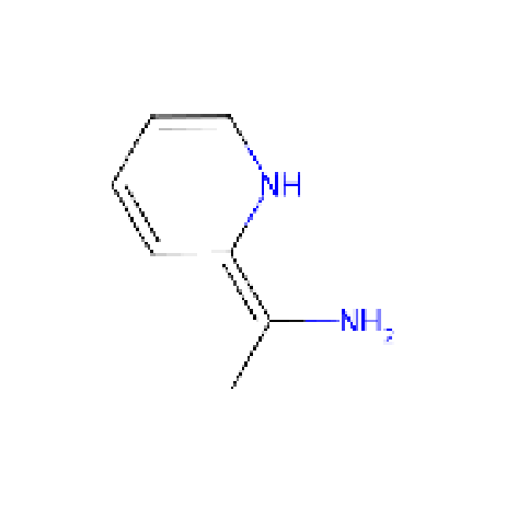 C/C(N)=C1\C=CC=CN1